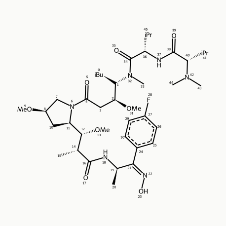 CC[C@H](C)[C@@H]([C@H](CC(=O)N1C[C@H](OC)C[C@@H]1[C@H](OC)[C@@H](C)C(=O)N[C@H](C)C(=NO)c1ccc(F)cc1)OC)N(C)C(=O)[C@@H](NC(=O)[C@H](C(C)C)N(C)C)C(C)C